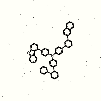 c1ccc(-c2ccccc2-c2ccc(N(c3ccc(-c4cccc(-c5ccc6ccccc6c5)c4)cc3)c3ccc(-c4cccc5oc6ccccc6c45)cc3)cc2)cc1